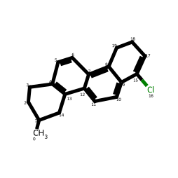 CC1CCc2ccc3c4c(ccc3c2C1)C(Cl)=CCC4